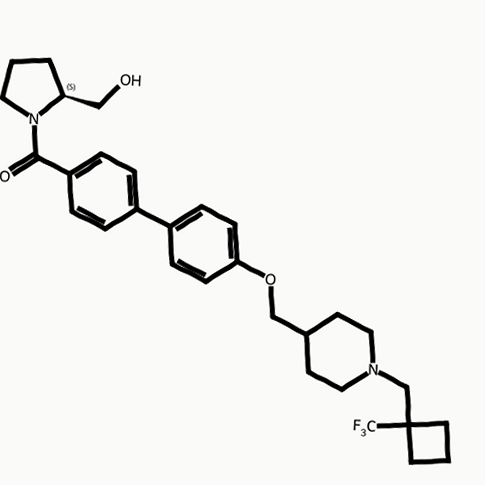 O=C(c1ccc(-c2ccc(OCC3CCN(CC4(C(F)(F)F)CCC4)CC3)cc2)cc1)N1CCC[C@H]1CO